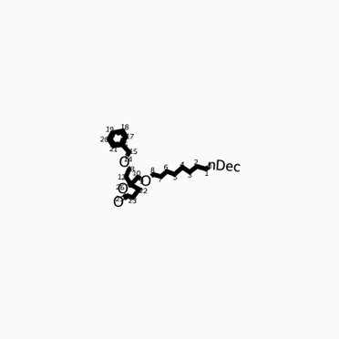 CCCCCCCCCCCCCCCCCCOCC1(CCOCc2ccccc2)CCC(=O)O1